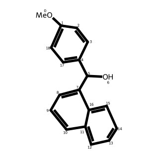 COc1ccc(C(O)c2cccc3ccccc23)cc1